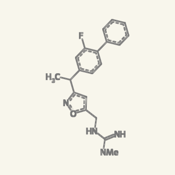 CNC(=N)NCc1cc(C(C)c2ccc(-c3ccccc3)c(F)c2)no1